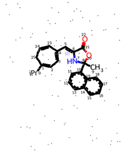 CC(C)C1=CC=C(/C=C2\NC(C)(c3cccc4ccccc34)OC2=O)C=CC1